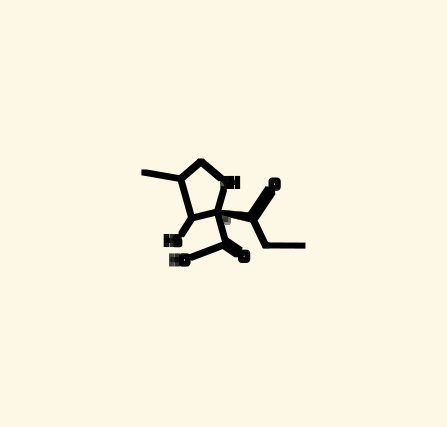 CCC(=O)[C@]1(C(=O)O)NCC(C)C1S